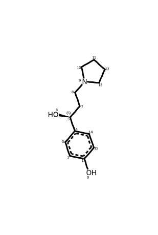 Oc1ccc([C@@H](O)CCN2CCCC2)cc1